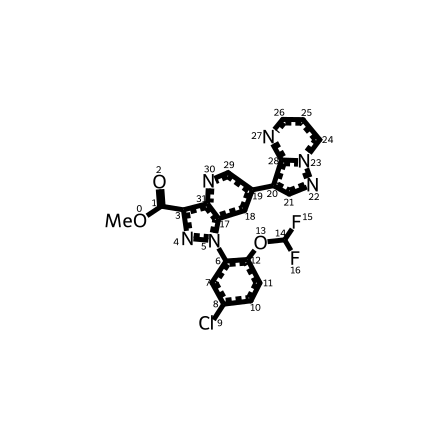 COC(=O)c1nn(-c2cc(Cl)ccc2OC(F)F)c2cc(-c3cnn4cccnc34)cnc12